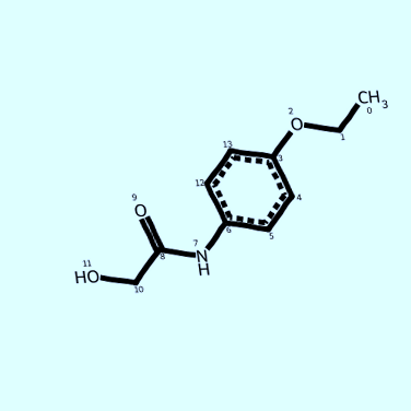 CCOc1ccc(NC(=O)CO)cc1